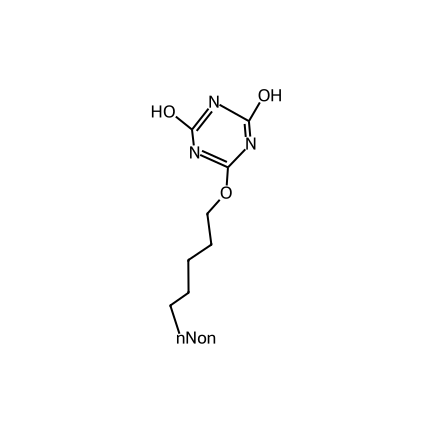 CCCCCCCCCCCCCCOc1nc(O)nc(O)n1